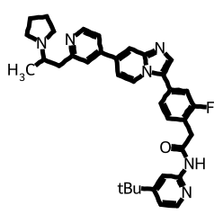 CC(Cc1cc(-c2ccn3c(-c4ccc(CC(=O)Nc5cc(C(C)(C)C)ccn5)c(F)c4)cnc3c2)ccn1)N1CCCC1